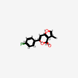 Cc1coc2cc(-c3ccc(F)cc3)oc(=O)c12